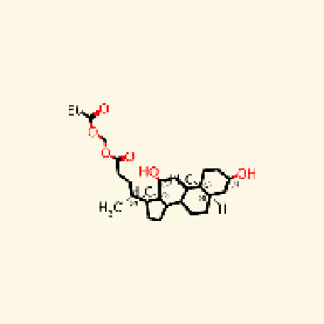 CCC(=O)OCOC(=O)CC[C@@H](C)C1CCC2C3CC[C@@H]4C[C@H](O)CC[C@]4(C)C3C[C@H](O)[C@@]21C